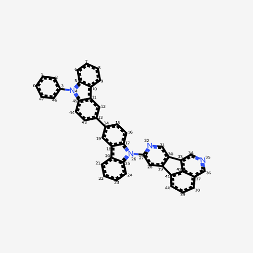 c1ccc(-n2c3ccccc3c3cc(-c4ccc5c(c4)c4ccccc4n5-c4cc5c(cn4)-c4cncc6cccc-5c46)ccc32)cc1